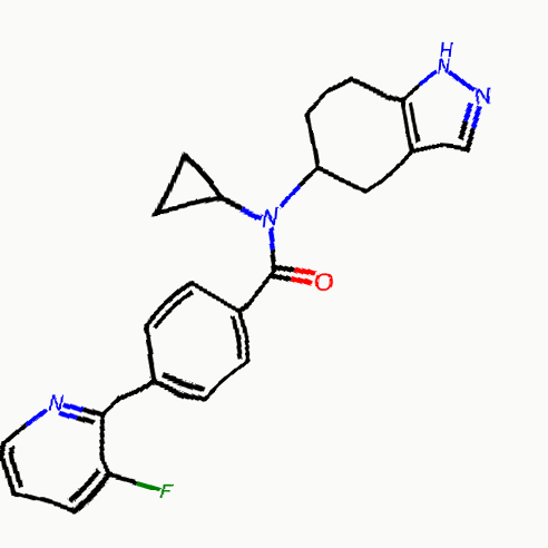 O=C(c1ccc(-c2ncccc2F)cc1)N(C1CC1)C1CCc2[nH]ncc2C1